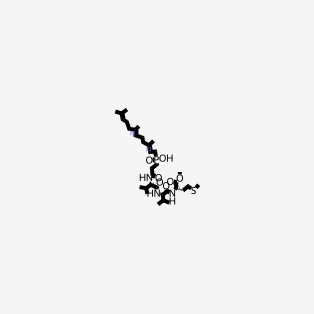 COC(=O)[C@H](CCSC)NC(=O)[C@@H](NC(=O)[C@@H](NC(=O)CCP(=O)(O)C/C=C(\C)CC/C=C(\C)CCC=C(C)C)C(C)C)C(C)C